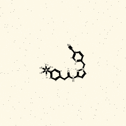 N#Cc1ccc(Cn2ccc(NC(=O)Cc3ccc(S(F)(F)(F)(F)F)cc3)n2)nc1